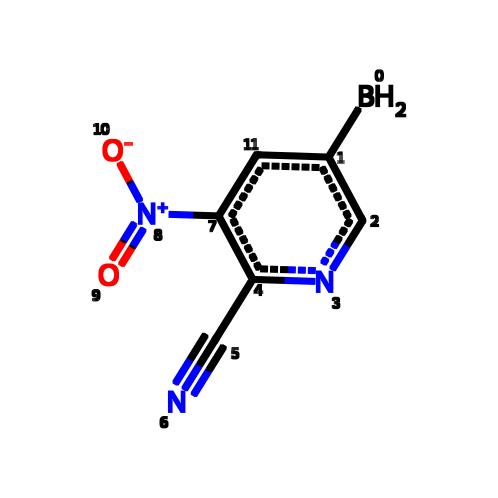 Bc1cnc(C#N)c([N+](=O)[O-])c1